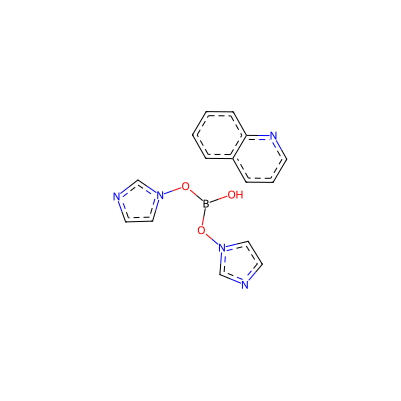 OB(On1ccnc1)On1ccnc1.c1ccc2ncccc2c1